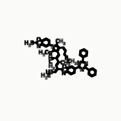 Bc1nc2cc(-n3c(C)c(/C=C\C=B/C)c(/C=C(C=C)/C(C)=C/C(=C\BC)c4nc5ccc(-c6nc(-c7ccccc7)nc(-c7ccccc7)n6)cc5o4)c3BC)ccc2o1